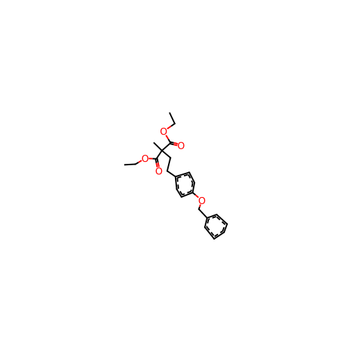 CCOC(=O)C(C)(CCc1ccc(OCc2ccccc2)cc1)C(=O)OCC